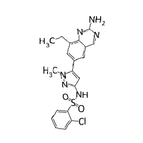 CCc1cc(-c2cc(NS(=O)(=O)c3ccccc3Cl)nn2C)cc2cnc(N)nc12